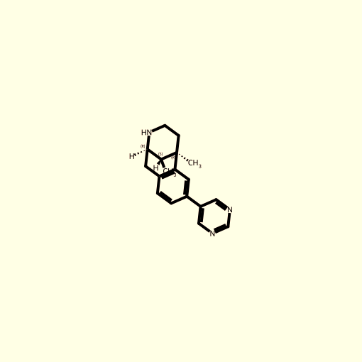 C[C@@H]1[C@H]2Cc3ccc(-c4cncnc4)cc3[C@]1(C)CCN2